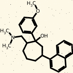 COc1cccc(C2(O)CC(c3cccc4ccccc34)CCCC2CN(C)C)c1